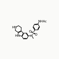 CC(=O)Nc1ccc(S(=O)(=O)N(C)c2ccc3[nH]c4c(c3c2)CCNC4)cc1